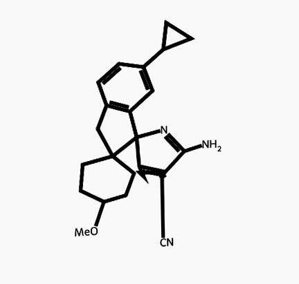 COC1CCC2(CC1)Cc1ccc(C3CC3)cc1C21N=C(N)c2cc(C#N)ccc21